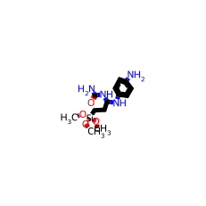 CO[Si](CCC(NC(N)=O)Nc1ccc(N)cc1)(OC)OC